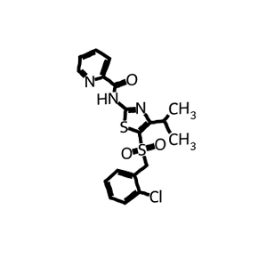 CC(C)c1nc(NC(=O)c2ccccn2)sc1S(=O)(=O)Cc1ccccc1Cl